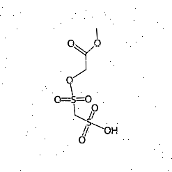 COC(=O)COS(=O)(=O)CS(=O)(=O)O